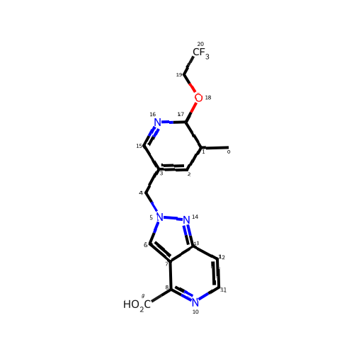 CC1C=C(Cn2cc3c(C(=O)O)nccc3n2)C=NC1OCC(F)(F)F